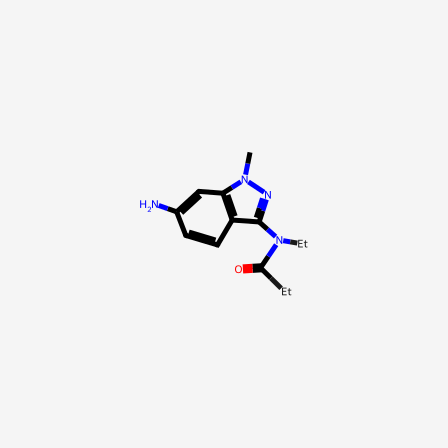 CCC(=O)N(CC)c1nn(C)c2cc(N)ccc12